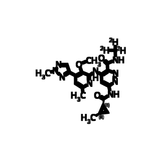 [2H]C([2H])([2H])NC(=O)c1nnc(NC(=O)[C@@H]2C[C@H]2C)cc1Nc1nc(C)cc(-c2cnn(C)n2)c1OC